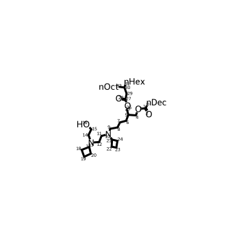 CCCCCCCCCCC(=O)OCC(CCCCN(CCN(CCO)C1CCC1)C1CCC1)COC(=O)CC(CCCCCC)CCCCCCCC